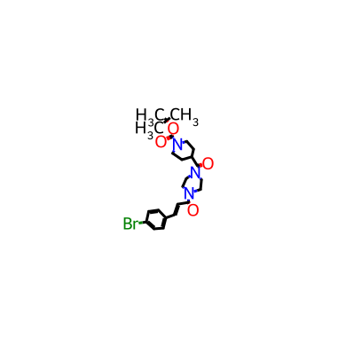 CC(C)(C)OC(=O)N1CCC(C(=O)N2CCN(C(=O)C=Cc3ccc(Br)cc3)CC2)CC1